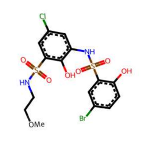 COCCNS(=O)(=O)c1cc(Cl)cc(NS(=O)(=O)c2cc(Br)ccc2O)c1O